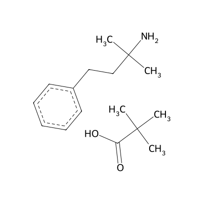 CC(C)(C)C(=O)O.CC(C)(N)CCc1ccccc1